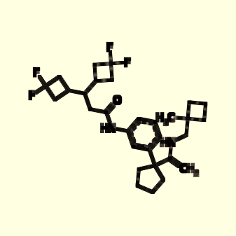 C=C(NCC1(C)CCC1)C1(c2cccc(NC(=O)CC(C3CC(F)(F)C3)C3CC(F)(F)C3)c2)CCCC1